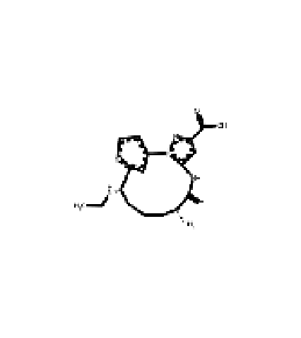 CCN[C@H]1CCC[C@@H](C)C(=O)Nc2cc(C(=O)O)nn2-c2ccnc1c2